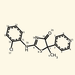 CC1(c2ccncc2)SC(Nc2ccccc2Cl)=NC1=O